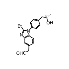 CCc1nc2cc(CC=O)ccc2n1-c1ccc(C[C@H](C)O)cc1